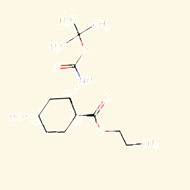 CCCOC(=O)[C@H]1CC[C@H](O)C[C@@H]1NC(=O)OC(C)(C)C